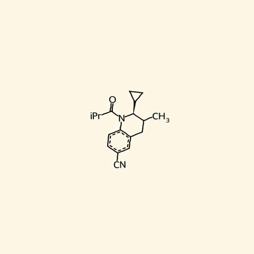 CC(C)C(=O)N1c2ccc(C#N)cc2CC(C)[C@@H]1C1CC1